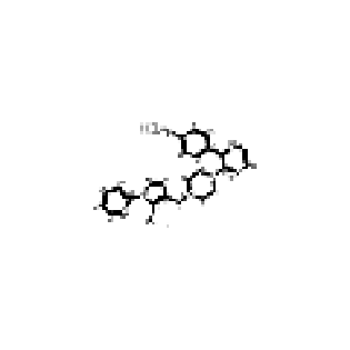 Cc1c(CN2CCN(c3nccnc3-c3ccc(F)cc3)CC2)cnn1-c1ccccn1.Cl